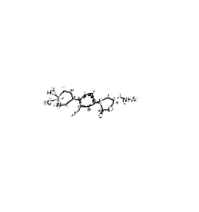 CC(=O)NC[C@H]1CN(c2ccc(C3CCS(O)(O)NC3)c(F)c2)C(=O)O1